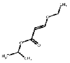 CCO/C=C/C(=O)OC(C)C